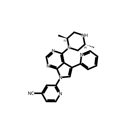 C[C@@H]1CN(c2ncnc3c2c(-c2ccccn2)cn3-c2cc(C#N)ccn2)[C@@H](C)CN1